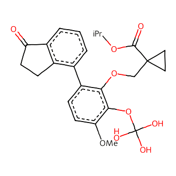 COc1ccc(-c2cccc3c2CCC3=O)c(OCC2(C(=O)OC(C)C)CC2)c1OC(O)(O)O